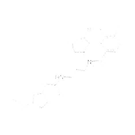 CCOC1CCC(OC(=O)NCCCN(Sc2ccc(C)c(CO)c2)[C@@H]2CCOC2)C1